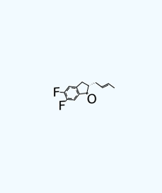 CC=CC[C@H]1Cc2cc(F)c(F)cc2C1=O